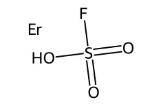 O=S(=O)(O)F.[Er]